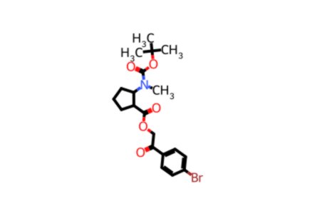 CN(C(=O)OC(C)(C)C)C1CCCC1C(=O)OCC(=O)c1ccc(Br)cc1